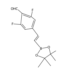 CC1(C)OB(C=Cc2cc(F)c(C=O)c(F)c2)OC1(C)C